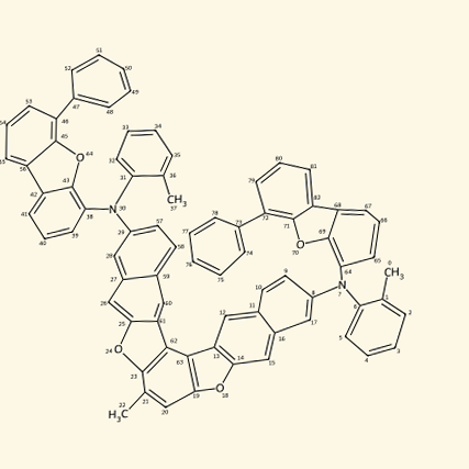 Cc1ccccc1N(c1ccc2cc3c(cc2c1)oc1cc(C)c2oc4cc5cc(N(c6ccccc6C)c6cccc7c6oc6c(-c8ccccc8)cccc67)ccc5cc4c2c13)c1cccc2c1oc1c(-c3ccccc3)cccc12